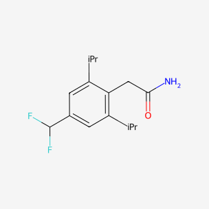 CC(C)c1cc(C(F)F)cc(C(C)C)c1CC(N)=O